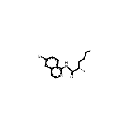 CCCC[C@H](C)C(=O)Nc1nccc2cc(Br)ccc12